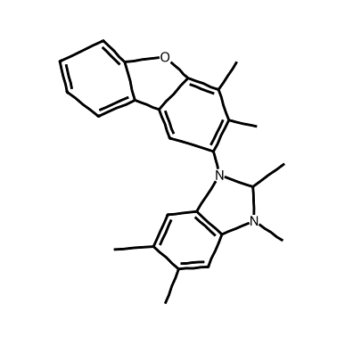 Cc1cc2c(cc1C)N(c1cc3c(oc4ccccc43)c(C)c1C)C(C)N2C